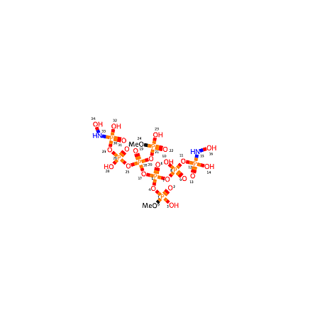 COP(=O)(O)OP(=O)(OP(=O)(O)OP(=O)(O)NO)OP(=O)(OP(=O)(O)OC)OP(=O)(O)OP(=O)(O)NO